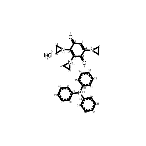 Cl.O=C1C=C(N2CC2)C(=O)C(N2CC2)=C1N1CC1.[Ru].c1ccc(P(c2ccccc2)c2ccccc2)cc1